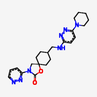 O=C1OC2(CCC(CNc3ccc(N4CCCCC4)nn3)CC2)CN1c1cccnn1